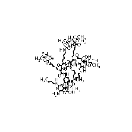 [CH2][CH]CSC[C@H](NC(=O)OC(C)(C)C)C(=O)N[C@@H](CO)C(=O)N[C@@H](CCCCNC(=O)OC(C)(C)C)C(=O)N[C@@H](CCCCNC(=O)OC(C)(C)C)C(=O)N[C@@H](CCCCNC(=O)OC(C)(C)C)C(=O)N[C@@H](CCCCNC(=O)OC(C)(C)C)C(=O)Nc1ccc(Cn2c(O)nc3c(N)nc(NCCCC)nc32)cc1